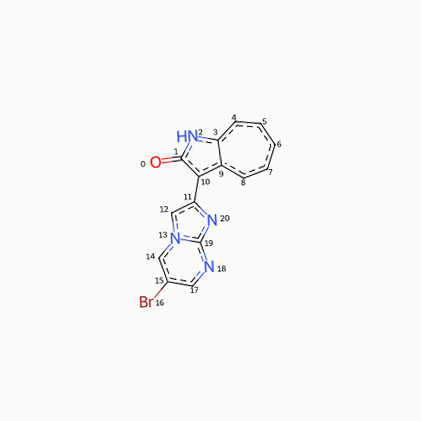 O=c1[nH]c2cccccc-2c1-c1cn2cc(Br)cnc2n1